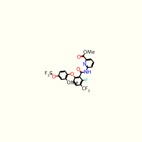 COC(=O)c1cccc(NC(=O)c2c(Oc3ccc(OC(F)(F)F)cc3OC)ccc(C(F)(F)F)c2F)n1